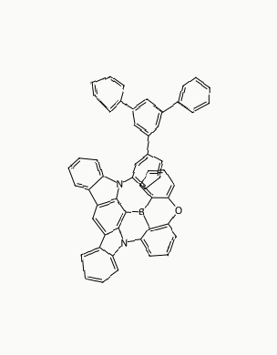 c1ccc(-c2cc(-c3ccccc3)cc(-c3cccc(-n4c5ccccc5c5cc6c7ccccc7n7c6c(c54)B4c5ccccc5Oc5cccc-7c54)c3)c2)cc1